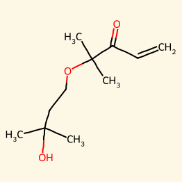 C=CC(=O)C(C)(C)OCCC(C)(C)O